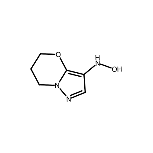 ONc1cnn2c1OCCC2